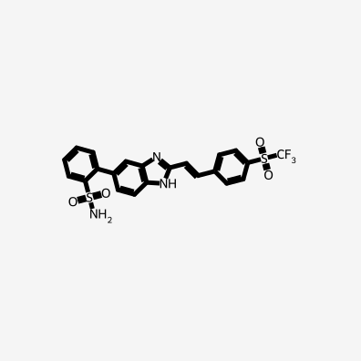 NS(=O)(=O)c1ccccc1-c1ccc2[nH]c(C=Cc3ccc(S(=O)(=O)C(F)(F)F)cc3)nc2c1